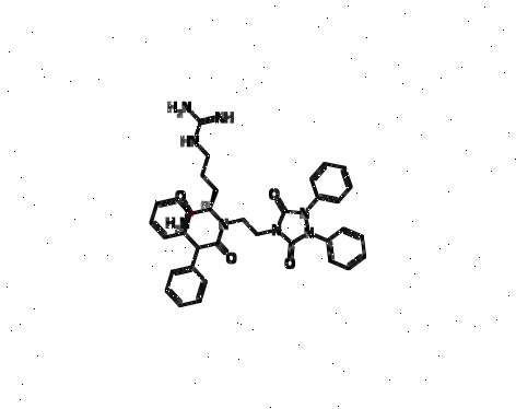 N=C(N)NCCC[C@H](C(N)=O)N(CCn1c(=O)n(-c2ccccc2)n(-c2ccccc2)c1=O)C(=O)C(c1ccccc1)c1ccccc1